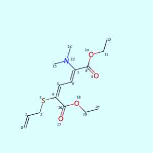 C=CCSC(=CC=C(C(=O)OCC)N(C)C)C(=O)OCC